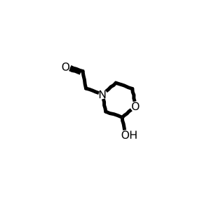 O=CCN1CCOC(O)C1